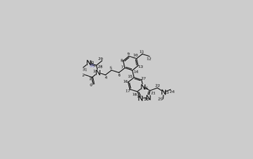 C=C(C)N(CCCc1ccc(CC)cc1-c1ccc2nnc(CN(C)C)n2c1)/C(C)=N\C